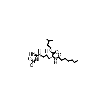 CCCCCCC(=O)N[C@@H](CCCNC(=N)N[N+](=O)[O-])C(=O)NCCC(C)C